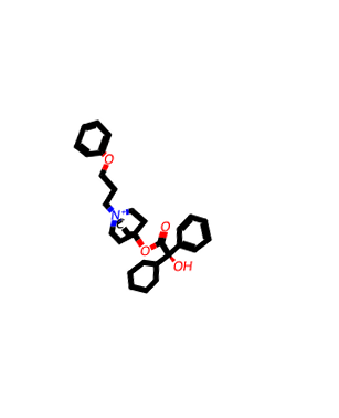 O=C(OC12CC[N+](CCCOc3ccccc3)(CC1)CC2)[C@](O)(c1ccccc1)C1CCCCC1